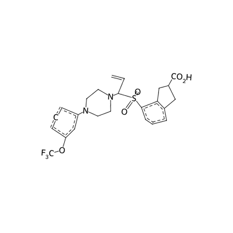 C=CC(N1CCN(c2cccc(OC(F)(F)F)c2)CC1)S(=O)(=O)c1cccc2c1CC(C(=O)O)C2